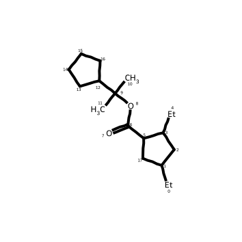 CCC1CC(CC)C(C(=O)OC(C)(C)C2CCCC2)C1